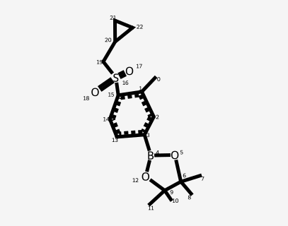 Cc1cc(B2OC(C)(C)C(C)(C)O2)ccc1S(=O)(=O)CC1CC1